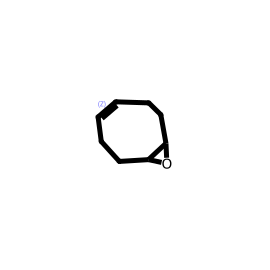 C1=C\CCC2OC2CC/1